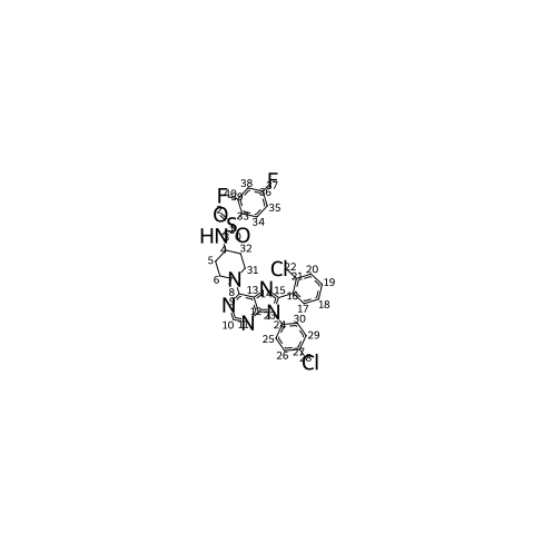 O=S(=O)(NC1CCN(c2ncnc3c2nc(-c2ccccc2Cl)n3-c2ccc(Cl)cc2)CC1)c1ccc(F)cc1F